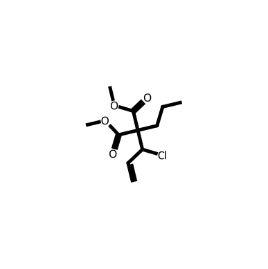 C=CC(Cl)C(CCC)(C(=O)OC)C(=O)OC